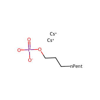 CCCCCCCCOP(=O)([O-])[O-].[Cs+].[Cs+]